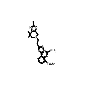 COc1cccc2c1nc(N)n1nc(CCN3Cc4oc(C)nc4C(C)(C)C3)nc21